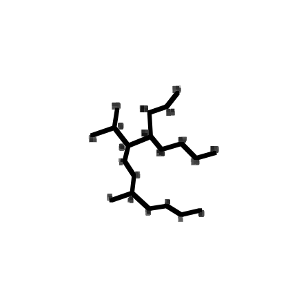 CCCCC(C)CCC(C(C)C)C(CCC)CCCC